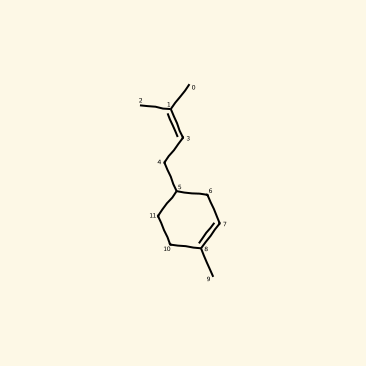 CC(C)=CCC1CC=C(C)CC1